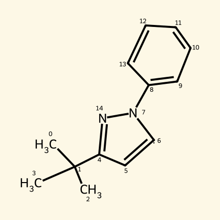 CC(C)(C)c1c[c]n(-c2ccccc2)n1